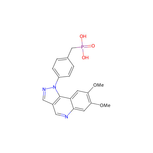 COc1cc2ncc3cnn(-c4ccc(CP(=O)(O)O)cc4)c3c2cc1OC